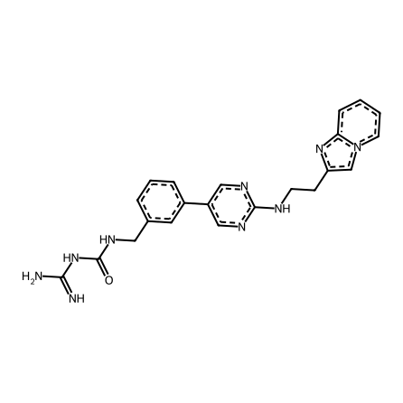 N=C(N)NC(=O)NCc1cccc(-c2cnc(NCCc3cn4ccccc4n3)nc2)c1